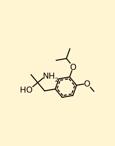 COc1ccc(CC(C)(N)O)cc1OC(C)C